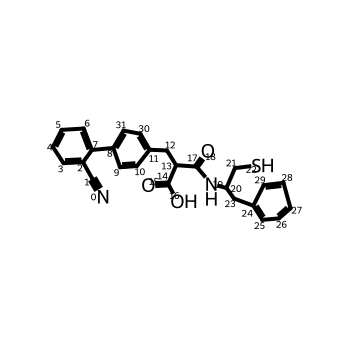 N#Cc1ccccc1-c1ccc(CC(C(=O)O)C(=O)NC(CS)Cc2ccccc2)cc1